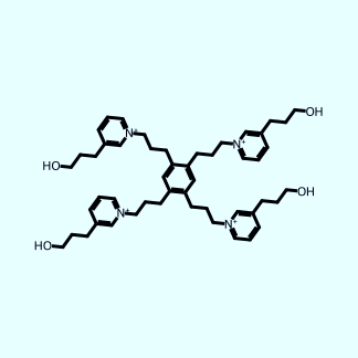 OCCCc1ccc[n+](CCCc2cc(CCC[n+]3cccc(CCCO)c3)c(CCC[n+]3cccc(CCCO)c3)cc2CCC[n+]2cccc(CCCO)c2)c1